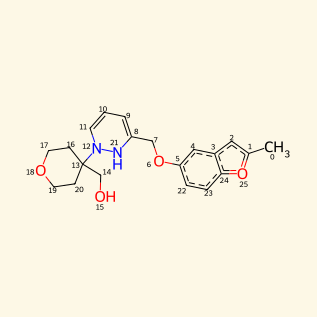 Cc1cc2cc(OCC3=CC=CN(C4(CO)CCOCC4)N3)ccc2o1